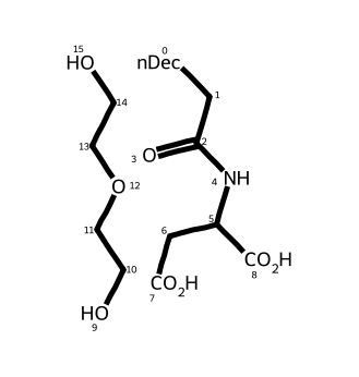 CCCCCCCCCCCC(=O)NC(CC(=O)O)C(=O)O.OCCOCCO